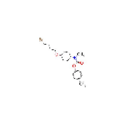 CN(C(=O)Oc1ccc(C(F)(F)F)cc1)C1CCC(OCCCCBr)CC1